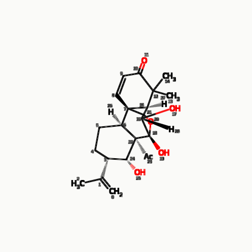 C=C(C)[C@@H]1CC[C@H]2[C@]34C=CC(=O)C(C)(C)[C@H]3[C@H](O)[C@](O)(OC4)[C@@]2(C(C)=O)[C@@H]1O